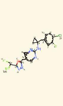 Fc1cc(C2(Nc3ncc(-c4nnc(C(F)F)o4)cn3)CC2)ccc1Cl